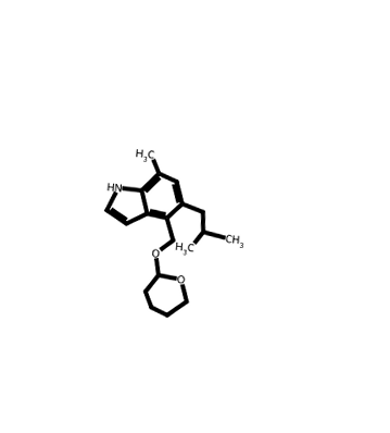 Cc1cc(CC(C)C)c(COC2CCCCO2)c2cc[nH]c12